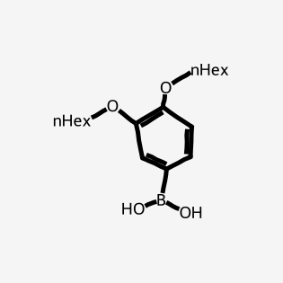 CCCCCCOc1ccc(B(O)O)cc1OCCCCCC